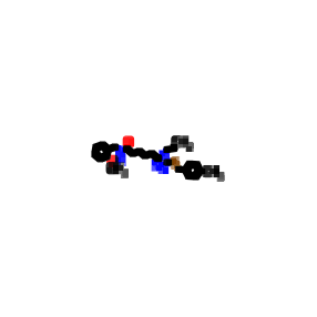 C=CCn1c(CCCCC(=O)NCc2ccccc2OC)nnc1SCc1ccc(C)cc1